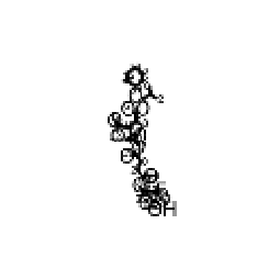 CC(C)C(OC(=O)C1C2OC3C(OC(=O)C31)C2OC(=O)CCC(=O)OC(C)C(F)(F)S(=O)(=O)O)OC1CCCCC1